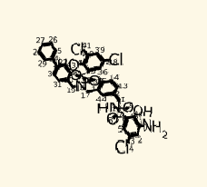 Nc1cc(Cl)cc(S(=O)(=O)NCc2cccc(CN(Cc3ccc(-c4ccccc4)cc3)S(=O)(=O)c3cc(Cl)cc(Cl)c3O)c2)c1O